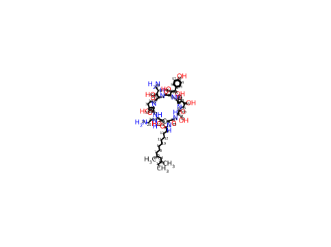 CC[C@H](C)C[C@H](C)CCCCCCCCC(=O)N[C@H]1C[C@@H](O)C(NCCN)NC(=O)[C@@H]2[C@@H](O)CCN2C(=O)[C@H]([C@H](O)CCN)NC(=O)[C@H]([C@H](O)[C@@H](O)c2ccc(O)cc2)NC(=O)[C@@H]2C[C@@H](O)CN2C(=O)[C@H](CO)NC1=O